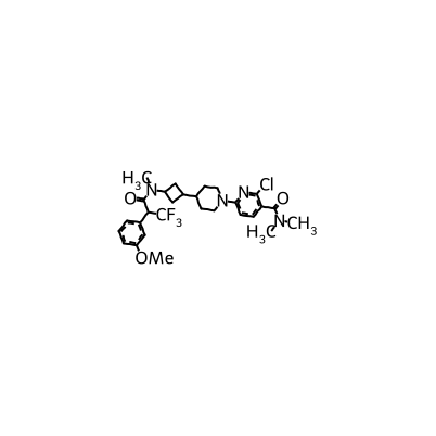 COc1cccc(C(C(=O)N(C)C2CC(C3CCN(c4ccc(C(=O)N(C)C)c(Cl)n4)CC3)C2)C(F)(F)F)c1